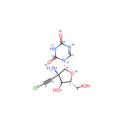 N[C@]1(C#CCl)C(O)[C@@H](CO)O[C@H]1n1cnc(=O)[nH]c1=O